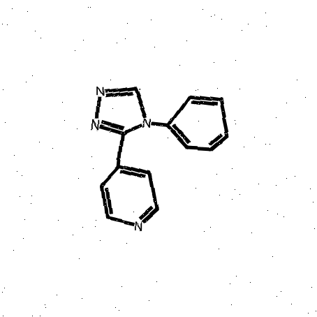 [c]1nnc(-c2ccncc2)n1-c1ccccc1